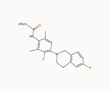 CCCCCC(=O)Nc1c(C)cc(N2CCc3cc(F)ccc3C2)c(F)c1C